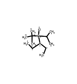 CCN(CC)[Si](Cl)(C(C)C)C(C)(C)C